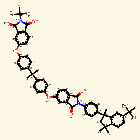 CCC(C)(CC)c1ccc2c(c1)C(C)(c1ccc(N3C(=O)c4ccc(Oc5ccc(C(C)(C)c6ccc(Oc7ccc8c(c7)C(=O)N(C(C)(CC)CC)C8=O)cc6)cc5)cc4C3=O)cc1)CC2(C)C